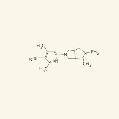 Cc1cc(N2CC3CN(P)C(C)C3C2)nc(C)c1C#N